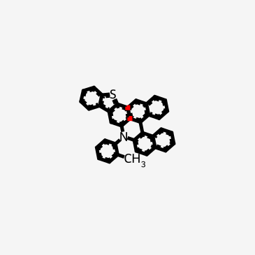 Cc1ccccc1N(c1ccc2sc3ccccc3c2c1)c1ccc2ccccc2c1-c1cccc2ccccc12